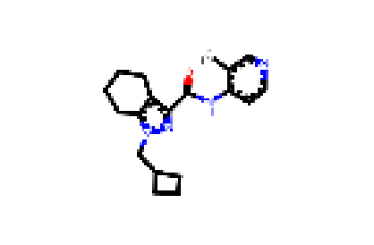 Cc1cnccc1NC(=O)c1nn(CC2CCC2)c2c1CCCC2